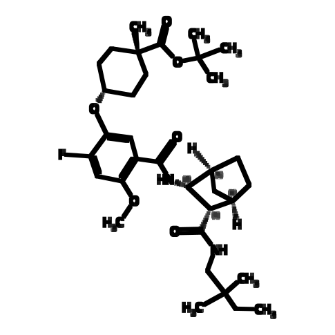 CCC(C)(C)CNC(=O)[C@H]1[C@@H]2CC[C@@H](C2)[C@H]1NC(=O)c1cc(O[C@H]2CC[C@@](C)(C(=O)OC(C)(C)C)CC2)c(F)cc1OC